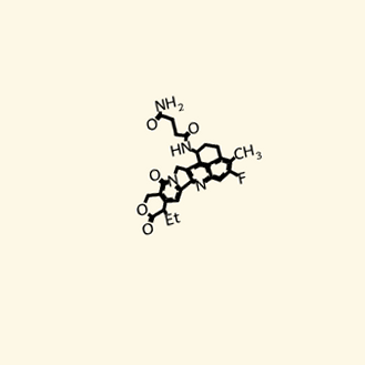 CCC1C(=O)OCc2c1cc1n(c2=O)Cc2c-1nc1cc(F)c(C)c3c1c2C(NC(=O)CCC(N)=O)CC3